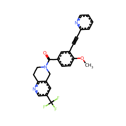 COc1ccc(C(=O)N2CCc3ncc(C(F)(F)F)cc3C2)cc1C#Cc1ccccn1